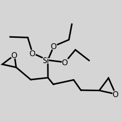 CCO[Si](OCC)(OCC)C(CCCC1CO1)CC1CO1